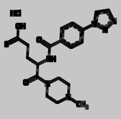 CN1CCN(C(=O)C(CCC(O)=S)NC(=O)c2ccc(-n3ccnn3)cc2)CC1.Cl